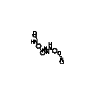 c1cc(-c2ccc(NCc3ccoc3)cc2)n2nc(Nc3ccc(OCCN4CCCC4)cc3)nc2c1